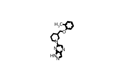 Cc1ccccc1OCC1CCCN(c2cnc3cn[nH]c3n2)C1